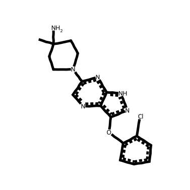 CC1(N)CCN(c2cnc3c(Oc4ccccc4Cl)n[nH]c3n2)CC1